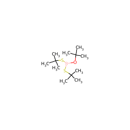 CC(C)(C)OB(SC(C)(C)C)SC(C)(C)C